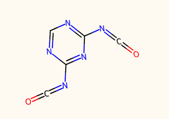 O=C=Nc1ncnc(N=C=O)n1